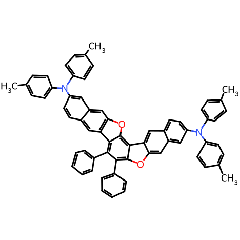 Cc1ccc(N(c2ccc(C)cc2)c2ccc3cc4c(cc3c2)oc2c4c(-c3ccccc3)c(-c3ccccc3)c3oc4cc5cc(N(c6ccc(C)cc6)c6ccc(C)cc6)ccc5cc4c32)cc1